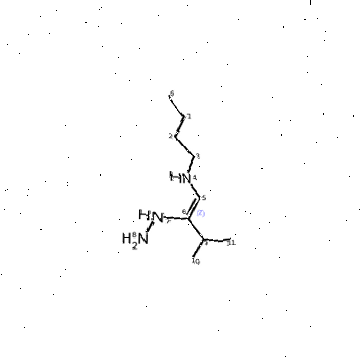 CCCCN/C=C(\NN)C(C)C